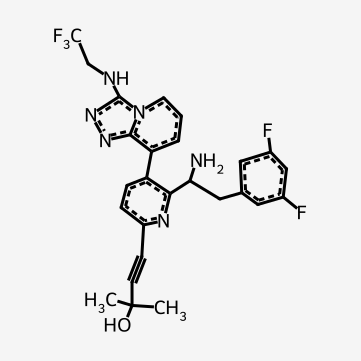 CC(C)(O)C#Cc1ccc(-c2cccn3c(NCC(F)(F)F)nnc23)c(C(N)Cc2cc(F)cc(F)c2)n1